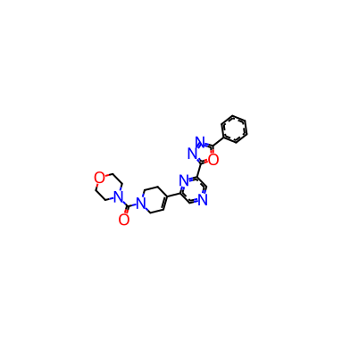 O=C(N1CC=C(c2cncc(-c3nnc(-c4ccccc4)o3)n2)CC1)N1CCOCC1